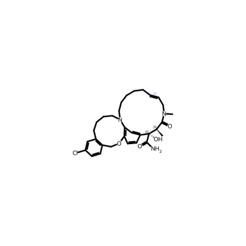 C[C@@H]1C(=O)N(C)C/C=C/CCCCCN2CCCCc3cc(Cl)ccc3COc3ccc(cc32)[C@]1(O)C(N)=O